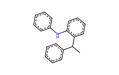 CC(c1ccccc1)c1ccccc1Nc1ccccc1